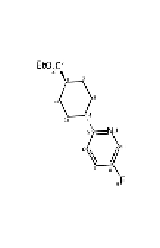 CCOC(=O)[C@H]1CC[C@H](c2ccc(F)cn2)CC1